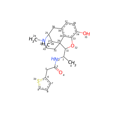 CC(NC(=O)Cc1cccs1)C1Oc2c(O)ccc3c2C12CCN(C)C(C3)C2C